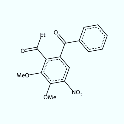 CCC(=O)c1c(C(=O)c2ccccc2)cc([N+](=O)[O-])c(OC)c1OC